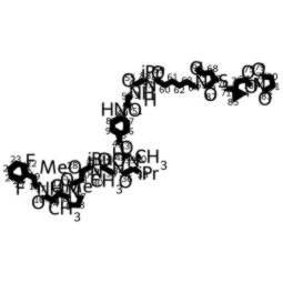 CC[C@H](C)C([C@@H](CC(=O)N1CCC[C@H]1[C@H](OC)[C@@H](C)C(=O)NCCc1c(F)cccc1F)OC)N(C)C(=O)CNC(=O)C(C(C)C)N(C)C(=O)OCc1ccc(NC(=O)CNC(=O)C(NC(=O)CCCCCN2C(=O)CC(SCC3(CC(=O)ON4C(=O)CCC4=O)CC3)C2=O)C(C)C)cc1